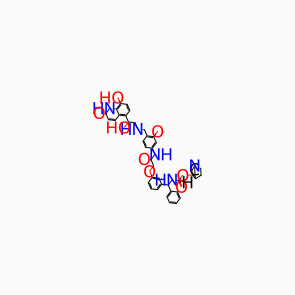 COc1cc(NC(=O)COc2cccc(C(NC(=O)O[C@H]3CN4CCC3CC4)c3ccccc3)c2)ccc1CNC[C@@H](O)c1ccc(O)c2[nH]c(=O)ccc12